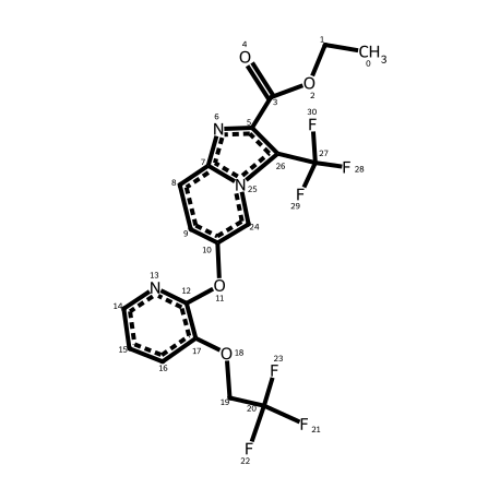 CCOC(=O)c1nc2ccc(Oc3ncccc3OCC(F)(F)F)cn2c1C(F)(F)F